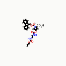 C=CCOC(=O)NCCNC(=O)O[C@@H]1C[C@@H](C(=O)O)N(C(=O)OCC2c3ccccc3-c3ccccc32)C1